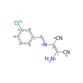 N#C/C(N)=C(\C#N)N=Cc1cccc(Cl)c1